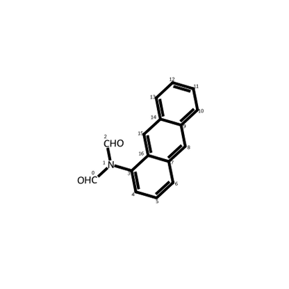 O=CN(C=O)c1cccc2cc3ccccc3cc12